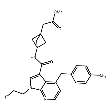 COC(=O)CC12CC(NC(=O)c3cn(CCF)c4nccc(Cc5ccc(C(F)(F)F)cc5)c34)(C1)C2